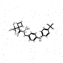 CC(C)(C)c1ccc(Nc2ccc(CN(O)C(=O)C3(C(F)(F)F)CCC3)cc2)cc1